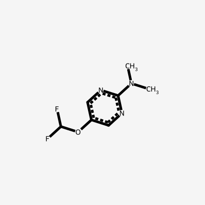 CN(C)c1ncc(OC(F)F)cn1